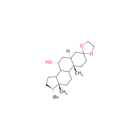 CC[C@@H](C)[C@H]1CCC2C3C(CC[C@@]21C)[C@@]1(C)CCC2(C[C@@H]1C[C@H]3O)OCCO2